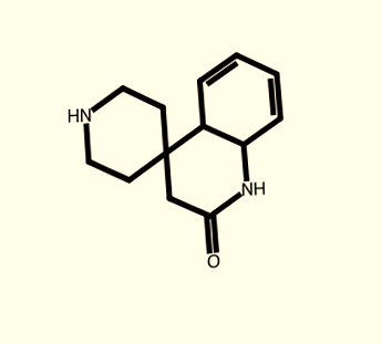 O=C1CC2(CCNCC2)C2C=CC=CC2N1